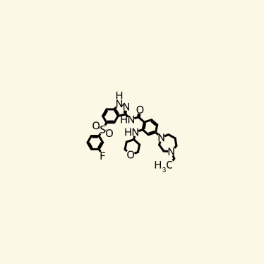 CCN1CCCN(c2ccc(C(=O)Nc3n[nH]c4ccc(S(=O)(=O)c5cccc(F)c5)cc34)c(NC3CCOCC3)c2)CC1